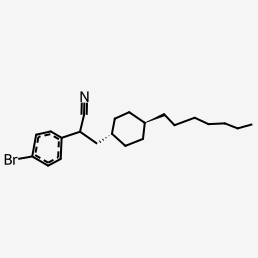 CCCCCCC[C@H]1CC[C@H](CC(C#N)c2ccc(Br)cc2)CC1